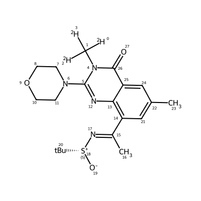 [2H]C([2H])([2H])n1c(N2CCOCC2)nc2c(C(C)=N[S@+]([O-])C(C)(C)C)cc(C)cc2c1=O